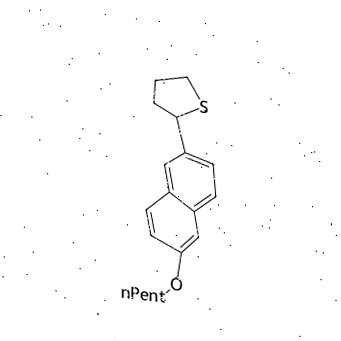 CCCCCOc1ccc2cc(C3CCCS3)ccc2c1